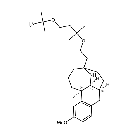 COc1ccc2c(c1)[C@@]1(C)CCCC3(CCOC(C)(C)CCOC(C)(C)N)CC[C@@H](C2)[C@@H]1N3